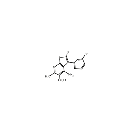 CCOC(=O)c1c(C)nc2sc(Br)c(-c3cccc(Br)c3)c2c1N